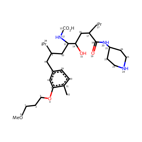 COCCCOc1cc(CC(CC(NC(=O)O)C(O)CC(C(=O)NC2CCNCC2)C(C)C)C(C)C)ccc1C